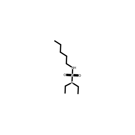 CCCCCNS(=O)(=O)N(CC)CC